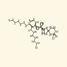 CCCCCCCc1cccc(OC(=O)NCC2(C)C[CH]CC(C)(C)C2)c1CCCCCCC